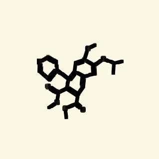 COC(=O)c1cc2cc(OC(C)C)c(OC)cc2c(-c2ccncc2)c1C(=O)OC